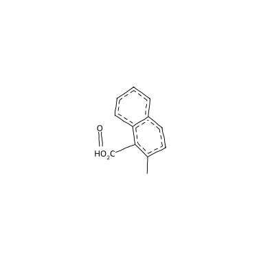 C=O.Cc1ccc2ccccc2c1C(=O)O